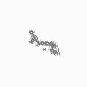 COC(=O)N[C@H](C(=O)N1CCC[C@H]1c1nc(-c2ccc(-c3ccc(C(=O)CNC(=O)[C@@H]4CC5(CN4C(=O)OCc4ccccc4)SCCS5)cc3)cc2)c[nH]1)C(C)C